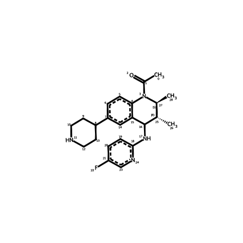 CC(=O)N1c2ccc(C3CCNCC3)cc2C(Nc2ccc(F)cn2)[C@@H](C)[C@@H]1C